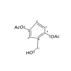 CC(=O)Oc1ccc(OC(C)=O)c(CO)c1